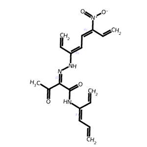 C=C/C=C(\C=C)NC(=O)/C(=N\N/C(C=C)=C/C=C(\C=C)[N+](=O)[O-])C(C)=O